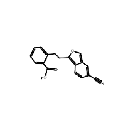 N#Cc1ccc2c(CCc3ccccc3C(=O)O)occ2c1